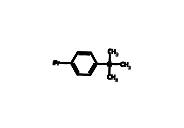 CC(C)c1ccc([Si](C)(C)C)cc1